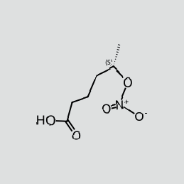 C[C@@H](CCCC(=O)O)O[N+](=O)[O-]